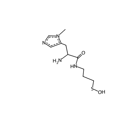 Cn1cncc1CC(N)C(=O)NCCCSO